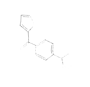 CC(C(=O)O)c1ccc(C(=O)c2ccco2)cc1